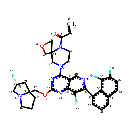 C=CC(=O)N1CCN(c2nc(OC[C@@]34CCCN3C[C@H](F)C4)nc3c(F)c(-c4cccc5ccc(F)c(F)c45)ncc23)CC12COC2